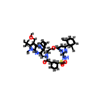 COCc1c(C(C)(C)C)n(C)c2nc(CN3C(=O)c4cccc(c4)S(=O)(=O)Nc4nc(cc(-c5c(C)cccc5C)n4)OC[C@H]3CC34CC(C3)C4)cnc12